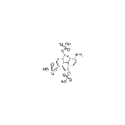 Nc1ccc2c(OS(=O)(=O)O)cc3c(OS(=O)(=O)O)ccc4c(OS(=O)(=O)O)cc1c2c43